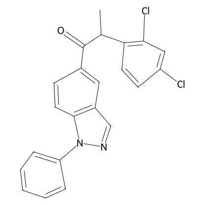 CC(C(=O)c1ccc2c(cnn2-c2ccccc2)c1)c1ccc(Cl)cc1Cl